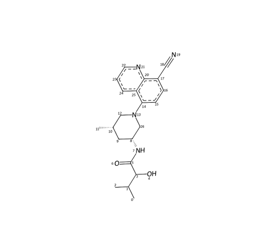 CC(C)C(O)C(=O)N[C@@H]1C[C@H](C)CN(c2ccc(C#N)c3ncccc23)C1